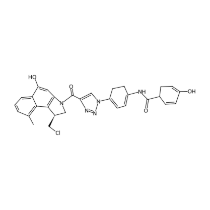 Cc1cccc2c(O)cc3c(c12)[C@H](CCl)CN3C(=O)c1cn(C2=CC=C(NC(=O)C3C=CC(O)=CC3)CC2)nn1